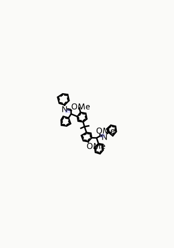 CO/C(=N\c1ccccc1)C(c1ccccc1)c1cc(C(C)(C)c2ccc(OC)c(C(/C(=N/c3ccccc3)OC)c3ccccc3)c2)ccc1C